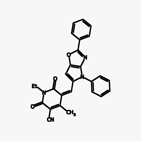 CCN1C(=O)C(C#N)=C(C)/C(=C/c2cc3oc(-c4ccccc4)nc3n2-c2ccccc2)C1=O